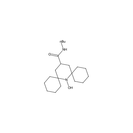 CCCCNC(=O)C1CC2(CCCCC2)N(O)C2(CCCCC2)C1